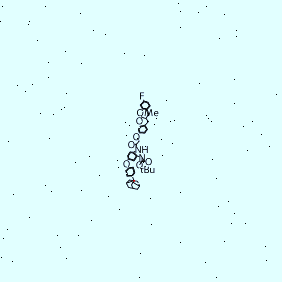 COC(=O)C(Cc1ccc(F)cc1)Cc1ccc(OCC(=O)Nc2ccc(Oc3ccc(C45CC6CC(CC(C6)C4)C5)cc3)cc2N(C)C(=O)OC(C)(C)C)cc1